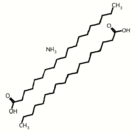 CCCCCCCCCCCCCCCCCC(=O)O.CCCCCCCCCCCCCCCCCCC(=O)O.N